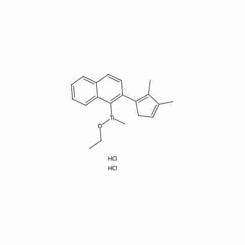 CC[O][Ti]([CH3])[c]1c(C2=C(C)C(C)=CC2)ccc2ccccc12.Cl.Cl